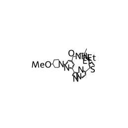 CCN(CC)C(C)CNC(=O)c1cc(-c2cnn3ccc(-c4cccs4)nc23)nc(N2CCC(OC)CC2)c1